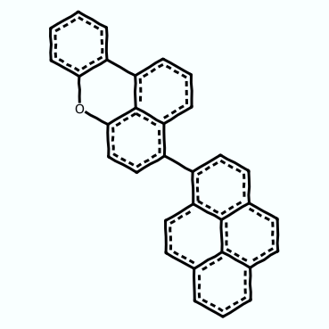 c1ccc2c(c1)Oc1ccc(-c3ccc4ccc5cccc6ccc3c4c56)c3cccc-2c13